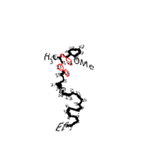 CC/C=C\C/C=C\C/C=C\C/C=C\C/C=C\C/C=C\CCC(=O)OCC(C)OC(=O)c1ccccc1OC